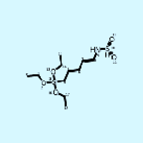 CCO[Si](CCCC=CN[SH](=O)=O)(OCC)OCC